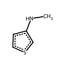 CNc1ccsc1